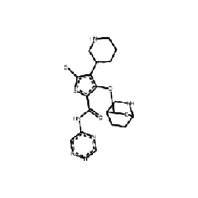 O=C(Nc1cnncn1)c1sc(Cl)c(C2CCCNC2)c1OC1CC2CCC1CN2